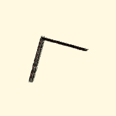 N#CS.[Na+].[Na+].[Na+].[Na+].[Na+].[Na+].[Na+].[Na+].[Na+].[Na+].[Na+].[Na+].[Na+].[Na+].[Na+].[Na+].[Na+].[Na+].[Na+].[Na+].[Na+].[Na+].[Na+].[Na+].[Na+].[Na+].[Na+].[Na+].[Na+].[Na+].[Na+].[Na+].[Na+].[Na+].[Na+].[Na+].[Na+].[Na+].[Na+].[Na+].[Na+].[Na+].[Na+].[Na+].[Na+].[Na+].[Na+].[Na+].[Na+].[Na+].[Na+].[Na+].[Na+].[Na+].[Na+].[Na+].[Na+].[Na+].[Na+].[Na+].[Na+].[Na+].[Na+].[Na+].[Na+].[Na+].[Na+].[Na+].[Na+].[Na+].[Na+].[Na+].[Na+].[Na+].[Na+].[Na+].[Na+].[Na+].[Na+].[Na+].[Na+].[Na+].[Na+].[Na+].[Na+].[Na+].[Na+].[Na+].[Na+].[Na+].[Na+].[Na+].[Na+]